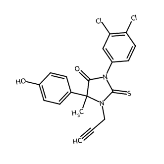 C#CCN1C(=S)N(c2ccc(Cl)c(Cl)c2)C(=O)C1(C)c1ccc(O)cc1